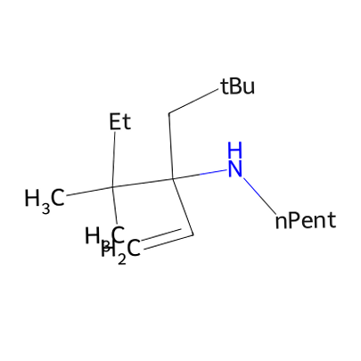 C=CC(CC(C)(C)C)(NCCCCC)C(C)(C)CC